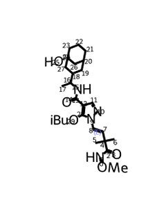 CONC(=O)C(C)(C)/C=C/n1ncc(C(=O)NC(C)C2CC3CCC[C@@](O)(C3)C2)c1OCC(C)C